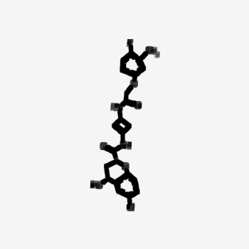 Cc1cc(OCC(=O)NC2C=C(NC(=O)[C@@H]3C[C@H](O)c4cc(Cl)ccc4O3)C2)ccc1F